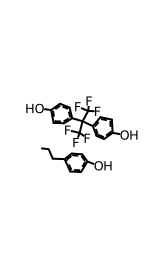 CCCc1ccc(O)cc1.Oc1ccc(C(c2ccc(O)cc2)(C(F)(F)F)C(F)(F)F)cc1